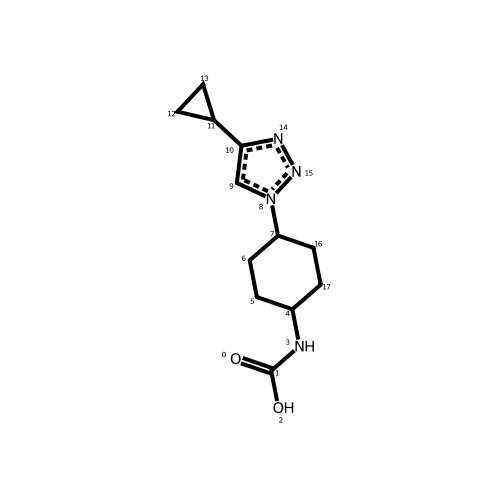 O=C(O)NC1CCC(n2cc(C3CC3)nn2)CC1